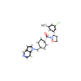 N#Cc1cc(F)cc([C@@H]2CCON2C(=O)[C@H]2CC[C@H](Cn3ccc4cnccc43)CC2)c1